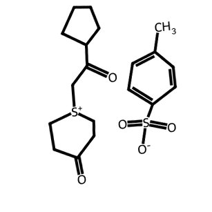 Cc1ccc(S(=O)(=O)[O-])cc1.O=C1CC[S+](CC(=O)C2CCCC2)CC1